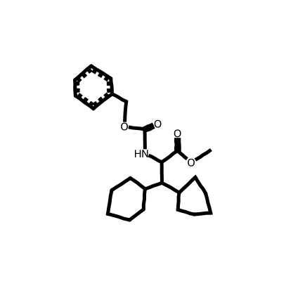 COC(=O)C(NC(=O)OCc1ccccc1)C(C1CCCCC1)C1CCCCC1